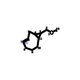 IOCC1C2C/C=C/CCCC21